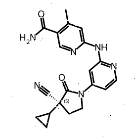 Cc1cc(Nc2cc(N3CC[C@@](C#N)(C4CC4)C3=O)ccn2)ncc1C(N)=O